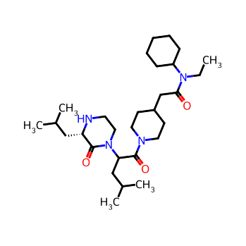 CCN(C(=O)CC1CCN(C(=O)C(CC(C)C)N2CCN[C@@H](CC(C)C)C2=O)CC1)C1CCCCC1